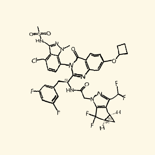 Cn1nc(NS(C)(=O)=O)c2c(Cl)ccc(-n3c([C@H](Cc4cc(F)cc(F)c4)NC(=O)Cn4nc(C(F)F)c5c4C(F)(F)[C@@H]4C[C@H]54)nc4cc(OC5CCC5)ccc4c3=O)c21